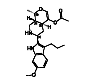 CCCc1c([C@@H]2C[C@@H]3C(OC(C)=O)=CO[C@@H](C)[C@H]3CN2)[nH]c2cc(OC)ccc12